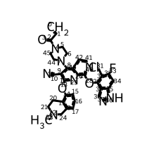 C=CC(=O)N1CCN(c2c(C#N)c(Oc3cccc4c3CCN(C)C4)nc3c(Oc4c(Cl)c(F)cc5[nH]ncc45)nccc23)CC1